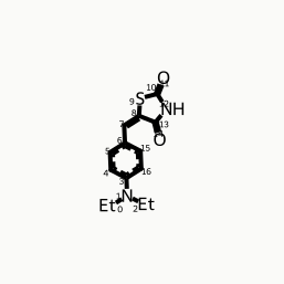 CCN(CC)c1ccc(C=C2SC(=O)NC2=O)cc1